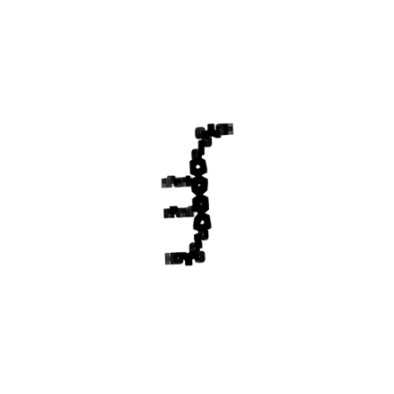 C=C(CO)C(=O)OCCOC1CCC(c2ccc(-c3ccc(C4CCC(OCCOC(=O)C(=C)CO)CC4)c(CCCCC)c3)cc2CCCCC)CC1